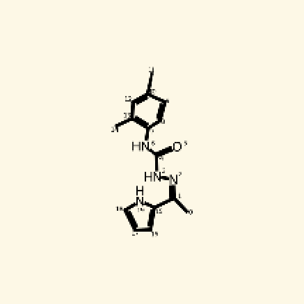 CC(=NNC(=O)Nc1ccc(C)cc1C)c1ccc[nH]1